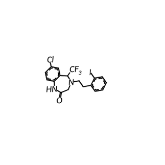 O=C1CN(CCc2ccccc2I)C(C(F)(F)F)c2cc(Cl)ccc2N1